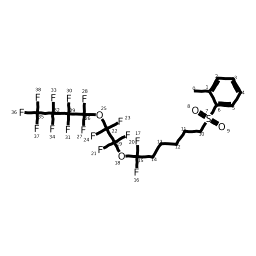 Cc1ccccc1S(=O)(=O)CCCCCC(F)(F)OC(F)(F)C(F)(F)OC(F)(F)C(F)(F)C(F)(F)C(F)(F)F